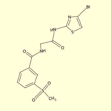 CS(=O)(=O)c1cccc(C(=O)NCC(=O)Nc2nc(Br)cs2)c1